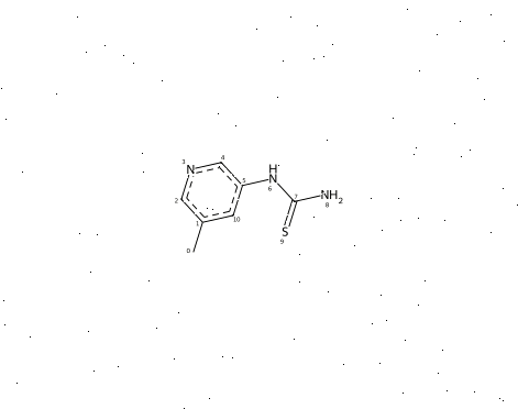 Cc1cncc(NC(N)=S)c1